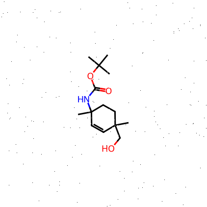 CC1(CO)C=CC(C)(NC(=O)OC(C)(C)C)CC1